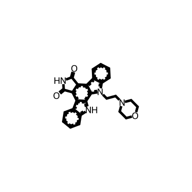 O=C1NC(=O)c2c1c1c3ccccc3[nH]c1c1c2c2ccccc2n1CCN1CCOCC1